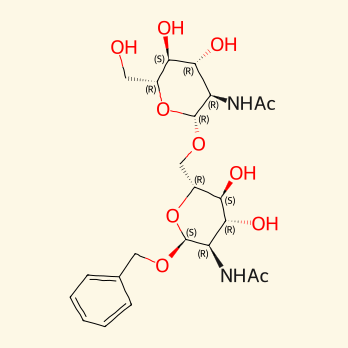 CC(=O)N[C@H]1[C@H](OC[C@H]2O[C@H](OCc3ccccc3)[C@H](NC(C)=O)[C@@H](O)[C@@H]2O)O[C@H](CO)[C@@H](O)[C@@H]1O